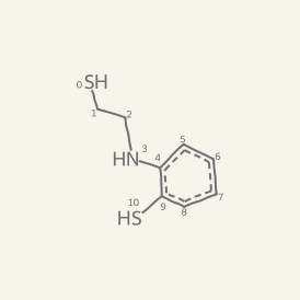 SCCNc1ccccc1S